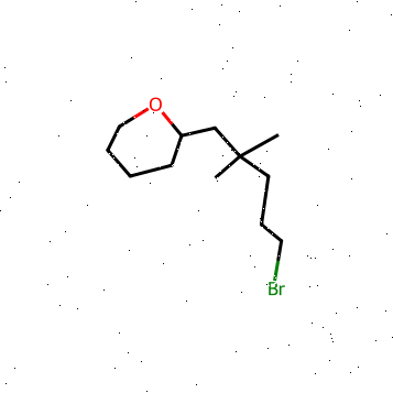 CC(C)(CCCBr)CC1CCCCO1